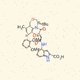 COc1cccc([C@@H]2C=C(C)C3=COC[C@@H](C(C)(C)C)N4C(=O)[C@@H](CC(=O)Nc5cccc6[nH]c(C(=O)O)cc56)OC2=C34)c1OC